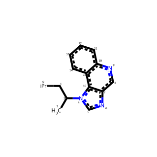 CC(C)CC(C)n1cnc2cnc3ccccc3c21